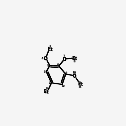 [CH2]Cc1cc(OCC)c(OCC)c(OCC)c1